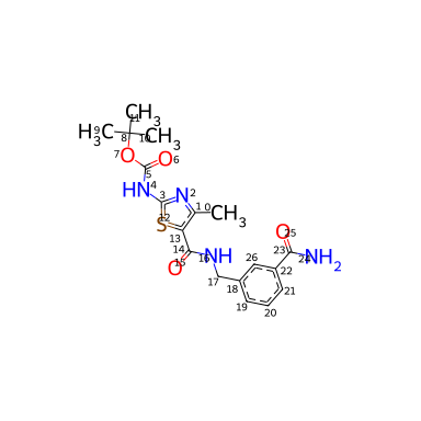 Cc1nc(NC(=O)OC(C)(C)C)sc1C(=O)NCc1cccc(C(N)=O)c1